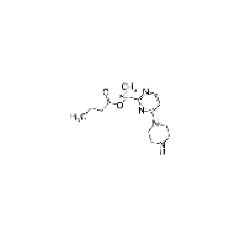 CCCC(=O)O[C@H](C)c1nccc(N2CCNCC2)n1